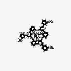 CCC(C)c1cccc(-c2cc(C)c3c(n2)c2cccc(C)c2n3-c2nc(-n3c4c(C)cccc4c4nc(-c5cccc(C(C)CC)c5)cc(C)c43)nc(-n3c4c(C)cccc4c4nc(-c5cccc(C(C)CC)c5)cc(C)c43)n2)c1